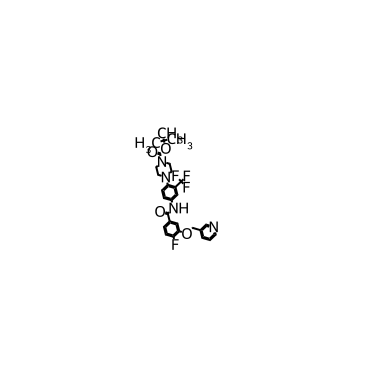 CC(C)(C)OC(=O)N1CCN(c2ccc(NC(=O)c3ccc(F)c(OCc4cccnc4)c3)cc2C(F)(F)F)CC1